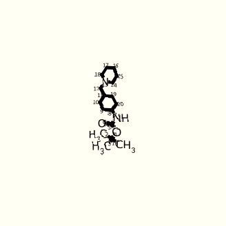 CC(C)(C)OC(=O)NC1CCC(CN2CCCCC2)CC1